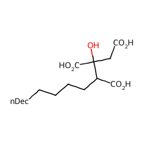 CCCCCCCCCCCCCCC(C(=O)O)C(O)(CC(=O)O)C(=O)O